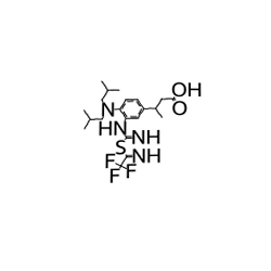 CC(C)CN(CC(C)C)c1ccc(C(C)CC(=O)O)cc1NC(=N)SC(=N)C(F)(F)F